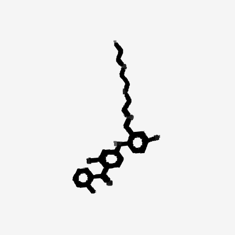 Cc1ccccc1C(=O)c1ccc(Nc2ccc(Br)cc2COCCOCCOCCI)cc1Cl